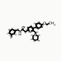 CCOc1ccc(-c2ccc(CC(=O)NCc3cccc(F)c3)nc2CN2CCCCC2)cc1